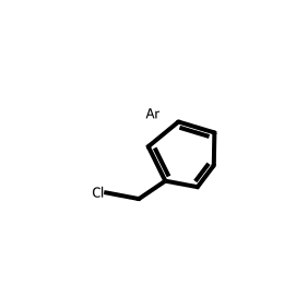 ClCc1ccccc1.[Ar]